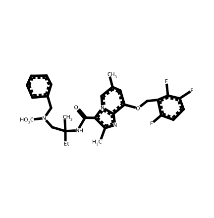 CCC(C)(CN(Cc1ccccc1)C(=O)O)NC(=O)c1c(C)nc2c(OCc3c(F)ccc(F)c3F)cc(C)cn12